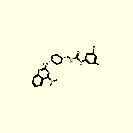 CN(C)c1nc(N[C@H]2CC[C@@H](CNC(=O)Nc3cc(F)cc(F)c3)CC2)nc2ccccc12